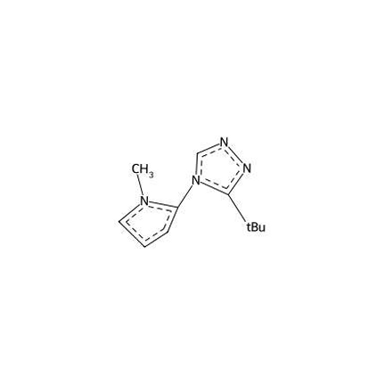 Cn1cccc1-n1cnnc1C(C)(C)C